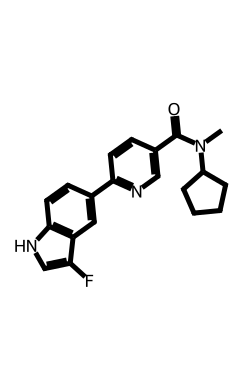 CN(C(=O)c1ccc(-c2ccc3[nH]cc(F)c3c2)nc1)C1CCCC1